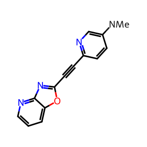 CNc1ccc(C#Cc2nc3ncccc3o2)nc1